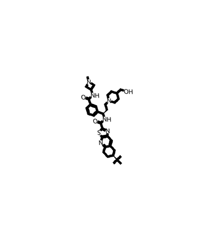 CN1CC(NC(=O)c2cccc([C@@H](CCN3CCC(CO)CC3)NC(=O)c3nc4cc5c(nc4s3)CC[C@H](C(C)(C)C)C5)c2)C1